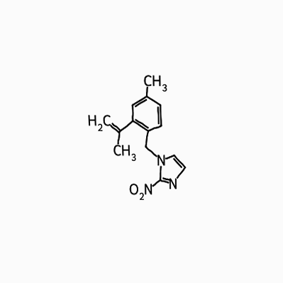 C=C(C)c1cc(C)ccc1Cn1ccnc1[N+](=O)[O-]